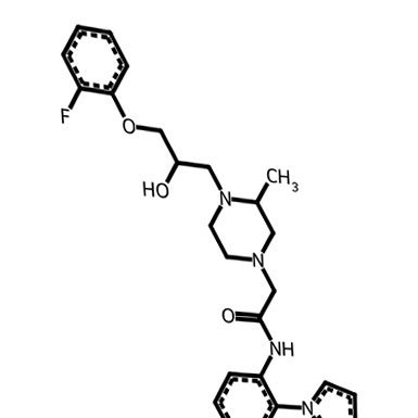 CC1CN(CC(=O)Nc2ccccc2-n2cccc2)CCN1CC(O)COc1ccccc1F